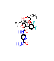 C[C@H](CO)COc1c([C@H]2[C@H](C(=O)Nc3ccc(C(N)=O)nc3)O[C@@](C)(C(F)(F)F)[C@H]2C)ccc(F)c1F